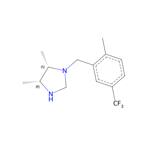 Cc1ccc(C(F)(F)F)cc1CN1CN[C@H](C)[C@@H]1C